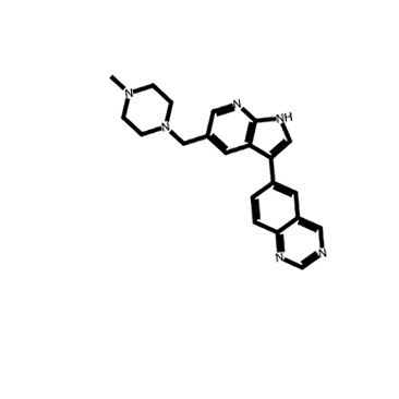 CN1CCN(Cc2cnc3[nH]cc(-c4ccc5ncncc5c4)c3c2)CC1